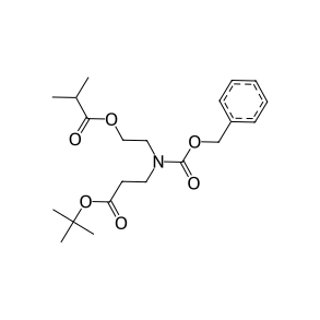 CC(C)C(=O)OCCN(CCC(=O)OC(C)(C)C)C(=O)OCc1ccccc1